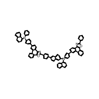 c1ccc(-c2nc3c4ccc(-c5ccc(N(c6ccc7cc(-c8ccc(-c9nc%10c%11ccc(-c%12ccc(N(c%13ccccc%13)c%13cccc%14ccccc%13%14)cc%12)cc%11c%11ccccc%11c%10o9)cc8)ccc7c6)c6cccc7ccccc67)cc5)cc4c4ccccc4c3o2)cc1